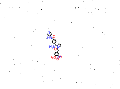 NC(c1ccc(C(=O)Nc2ccncc2)cc1)C1CCCN1C(=O)Cc1ccc(O)c([N+](=O)[O-])c1